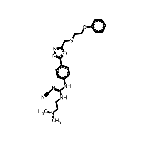 CN(C)CCNC(=NC#N)Nc1ccc(-c2nnc(CSCCOc3ccccc3)o2)cc1